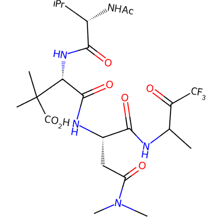 CC(=O)N[C@H](C(=O)N[C@H](C(=O)N[C@@H](CC(=O)N(C)C)C(=O)NC(C)C(=O)C(F)(F)F)C(C)(C)C(=O)O)C(C)C